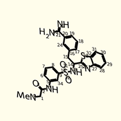 CNCC(=O)Nc1cccc(S(=O)(=O)NC(Cc2cccc(C(=N)N)c2)c2nc3ccccc3s2)c1